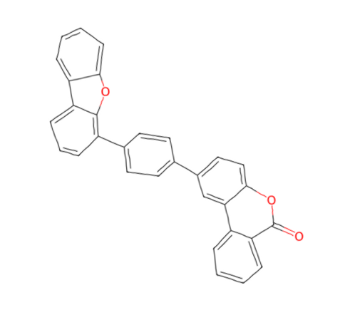 O=c1oc2ccc(-c3ccc(-c4cccc5c4oc4ccccc45)cc3)cc2c2ccccc12